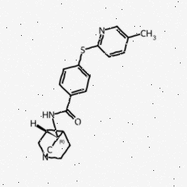 Cc1ccc(Sc2ccc(C(=O)N[C@H]3CN4CCC3CC4)cc2)nc1